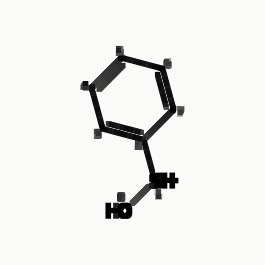 O[SiH]c1ccccc1